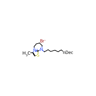 CCCCCCCCCCCCCCCCN1CCCC[n+]2c(C)csc21.[Br-]